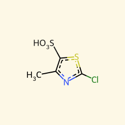 Cc1nc(Cl)sc1S(=O)(=O)O